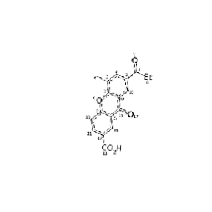 CCC(=O)c1cc(C)c2oc3ccc(C(=O)O)cc3c(=O)c2c1